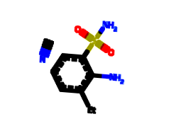 C#N.CCc1cccc(S(N)(=O)=O)c1N